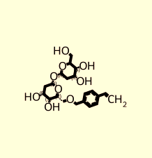 C=Cc1ccc(COC[C@H]2O[C@H](O[C@@H]3C[C@@H](O)[C@H](O)C(CO)O3)C[C@@H](O)[C@@H]2O)cc1